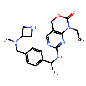 CCN1C(=O)OCc2cnc(N[C@@H](C)c3ccc(CN(C)C4CNC4)cc3)nc21